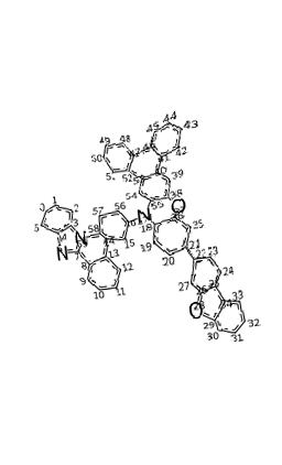 c1ccc2c(c1)nc1c3ccccc3c3cc(N4c5ccc(-c6ccc7c(c6)oc6ccccc67)cc5Oc5cc6c7ccccc7c7ccccc7c6cc54)ccc3n21